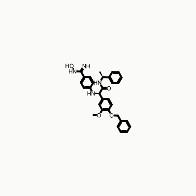 COc1cc([C@@H](Nc2ccc(C(=N)NO)cc2)C(=O)N[C@@H](C)c2ccccc2)ccc1OCc1ccccc1